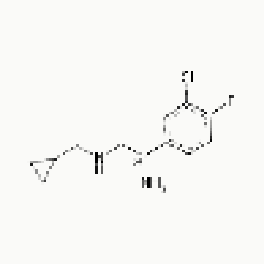 N[C@H](CNCC1CC1)c1ccc(F)c(Cl)c1